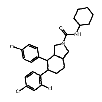 O=C(NC1CCCCC1)N1CC2CCC(c3ccc(Cl)cc3Cl)C(c3ccc(Cl)cc3)C2C1